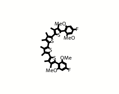 COc1cc(F)cc(OC)c1-c1sc(-c2sc(-c3sc(-c4sc(-c5c(OC)cc(F)cc5OC)c(C)c4C)c(C)c3C)c(C)c2C)c(C)c1C